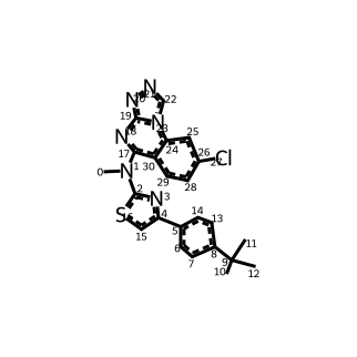 CN(c1nc(-c2ccc(C(C)(C)C)cc2)cs1)c1nc2nncn2c2cc(Cl)ccc12